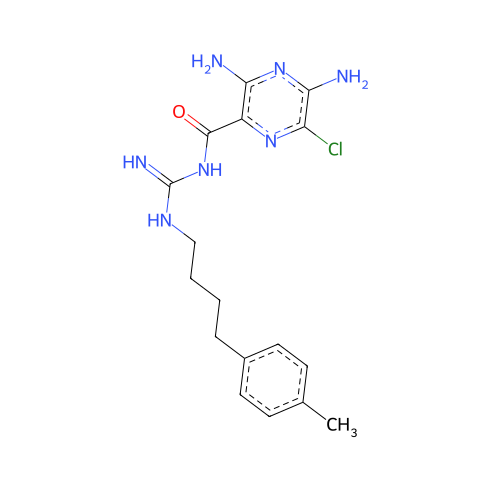 Cc1ccc(CCCCNC(=N)NC(=O)c2nc(Cl)c(N)nc2N)cc1